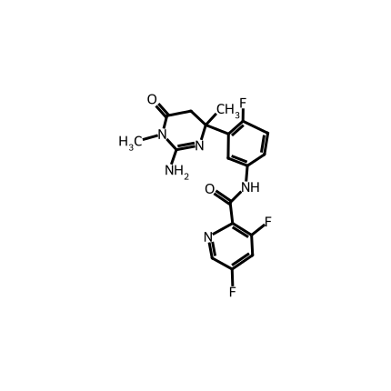 CN1C(=O)CC(C)(c2cc(NC(=O)c3ncc(F)cc3F)ccc2F)N=C1N